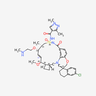 CNCCO[C@H]1/C=C/[C@H](OC)[C@@H]2CC[C@H]2CN2C[C@@]3(CCCc4cc(Cl)ccc43)COc3ccc(cc32)C(=O)N=[S@](=O)(NC(=O)c2cn(C)nc2C)C[C@H]1C